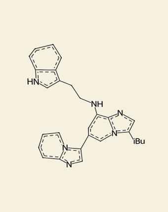 CCC(C)c1cnc2c(NCCc3c[nH]c4ccccc34)cc(-c3cnc4ccccn34)cn12